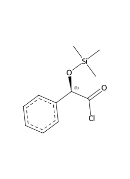 C[Si](C)(C)O[C@@H](C(=O)Cl)c1ccccc1